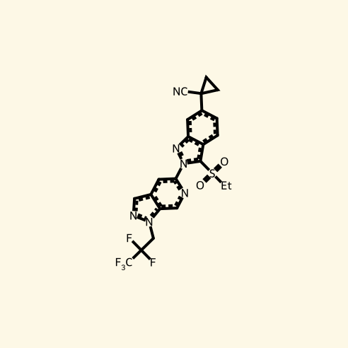 CCS(=O)(=O)c1c2ccc(C3(C#N)CC3)cc2nn1-c1cc2cnn(CC(F)(F)C(F)(F)F)c2cn1